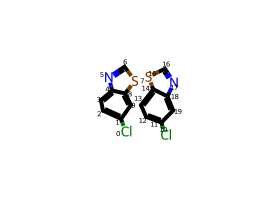 Clc1ccc2ncsc2c1.Clc1ccc2scnc2c1